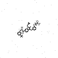 COC(=O)C(C)(C)Oc1cccc(Cc2c(C)n(CC3CC3)c3cc(C(=O)N[C@@H](C)c4cccc(C(C)(C)C)c4)ccc23)c1